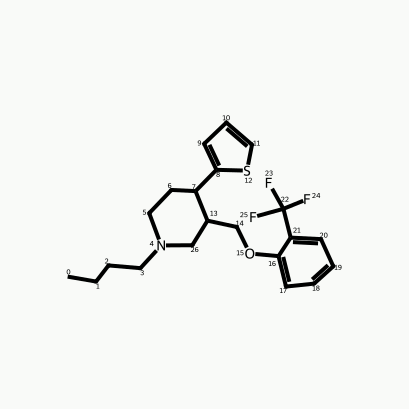 CCCCN1CCC(c2cccs2)C(COc2ccccc2C(F)(F)F)C1